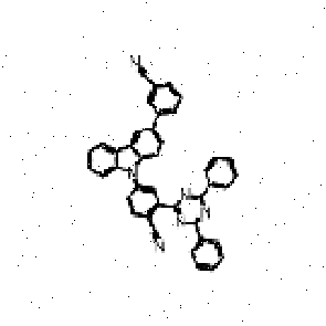 N#Cc1cccc(-c2ccc3c(c2)c2ccccc2n3-c2ccc(C#N)c(-c3nc(-c4ccccc4)nc(-c4ccccc4)n3)c2)c1